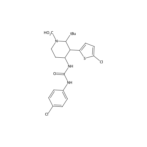 CC(C)(C)C1C(c2ccc(Cl)s2)C(NC(=O)Nc2ccc(Cl)cc2)CCN1C(=O)O